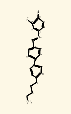 CCCCCc1ccc(-c2ccc(C=Nc3ccc(F)c(F)c3)cc2)cc1